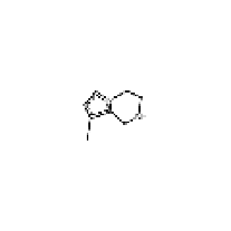 Cc1ccn2c1CNCC2